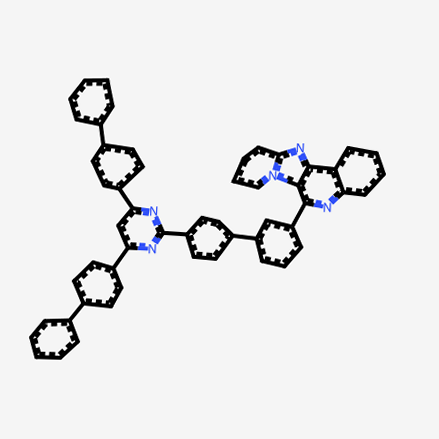 c1ccc(-c2ccc(-c3cc(-c4ccc(-c5ccccc5)cc4)nc(-c4ccc(-c5cccc(-c6nc7ccccc7c7nc8ccccn8c67)c5)cc4)n3)cc2)cc1